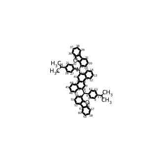 CC(C)c1ccc(C(c2cc3c4ccccc4c(N(c4ccc(C(C)C)cc4)c4cccc5c4oc4ccccc45)cc3c3ccccc23)c2cccc3c2oc2ccccc23)cc1